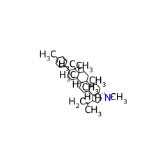 C=C(C)[C@@H]1CC[C@]2(/C=N/C)CC[C@]3(C)[C@H](CC[C@@H]4[C@@]5(C)CC=C(c6ccc(C)cc6)C(C)(C)[C@@H]5CC[C@]43C)[C@@H]12